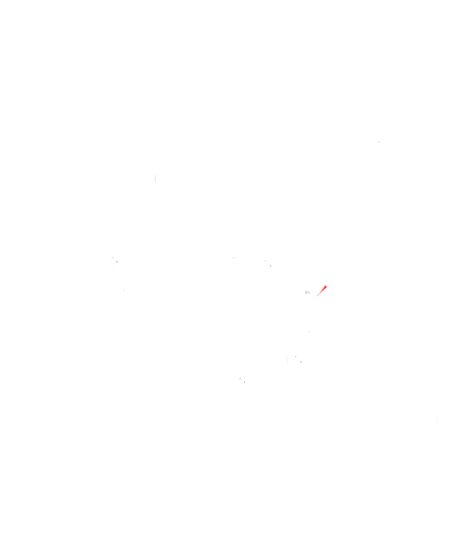 CCCN(CCC)C(=O)c1cc(C(=O)N(Cc2cccc(CC)c2)C[C@@H](O)[C@@H](N)Cc2cc(F)cc(F)c2)cc(-c2ncco2)c1.Cl